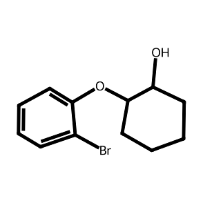 OC1CCCCC1Oc1ccccc1Br